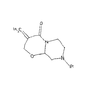 C=C1COC2CN(C(C)C)CCN2C1=O